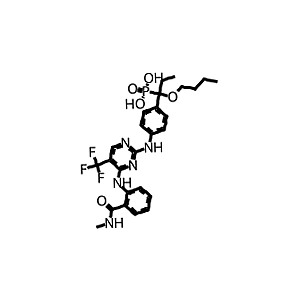 CCCCOC(CC)(c1ccc(Nc2ncc(C(F)(F)F)c(Nc3ccccc3C(=O)NC)n2)cc1)P(=O)(O)O